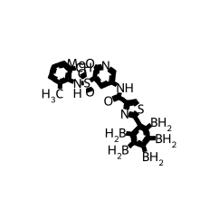 Bc1c(B)c(B)c(-c2nc(C(=O)Nc3cnc(OC)c(S(=O)(=O)Nc4c(C)cccc4C)c3)cs2)c(B)c1B